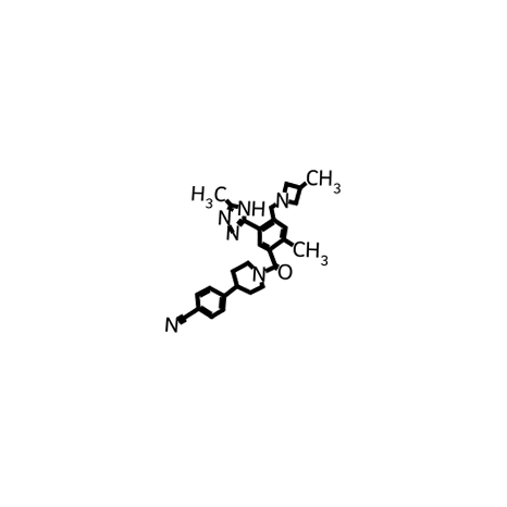 Cc1nnc(-c2cc(C(=O)N3CCC(c4ccc(C#N)cc4)CC3)c(C)cc2CN2CC(C)C2)[nH]1